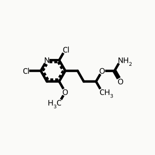 COc1cc(Cl)nc(Cl)c1CCC(C)OC(N)=O